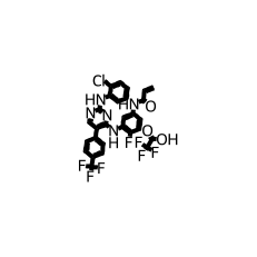 C=CC(=O)Nc1ccc(F)c(Nc2nc(Nc3ccccc3Cl)ncc2-c2ccc(C(F)(F)F)cc2)c1.O=C(O)C(F)(F)F